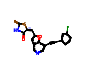 O=C1NC(=S)S/C1=C/c1cc2cncc(C#Cc3cccc(F)c3)c2o1